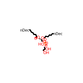 CCCCCCCCCCCCCCCC(=O)OC[C@H](COP(=O)(O)OC[C@H](O)CO)OC(=O)CCCCCCCCCCCCCCC